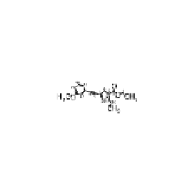 CCOC(=O)c1cc(C#Cc2cccc(OC)c2)cn1CC